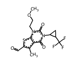 COCCn1c(=O)n(C2CC2C(F)(F)F)c(=O)c2c(C)c(C=O)sc21